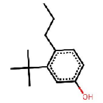 CCCc1ccc(O)cc1C(C)(C)C